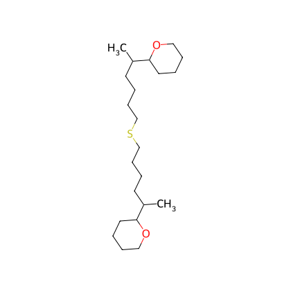 CC(CCCCSCCCCC(C)C1CCCCO1)C1CCCCO1